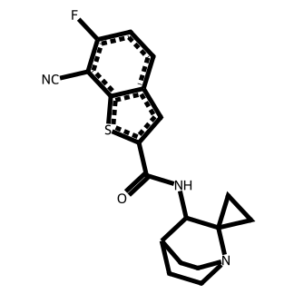 N#Cc1c(F)ccc2cc(C(=O)NC3C4CCN(CC4)C34CC4)sc12